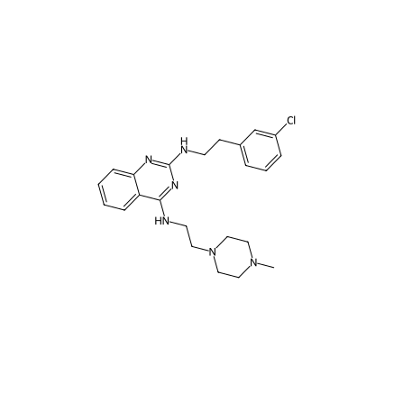 CN1CCN(CCNc2nc(NCCc3cccc(Cl)c3)nc3ccccc23)CC1